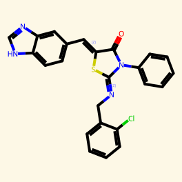 O=C1/C(=C/c2ccc3[nH]cnc3c2)S/C(=N\Cc2ccccc2Cl)N1c1ccccc1